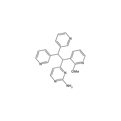 COc1ncccc1C(c1ccnc(N)n1)C(c1cccnc1)c1cccnc1